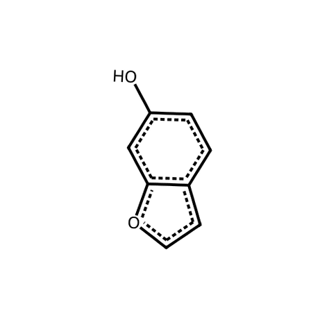 Oc1ccc2ccoc2c1